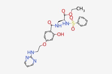 CCOC(=O)[C@H](CNC(=O)c1ccc(OCCNc2ncccn2)cc1O)NS(=O)(=O)c1ccccc1